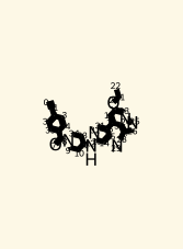 C#Cc1ccc(C(=O)N2CCC(Nc3ccc(-c4cc(OCC)cn5ncc(C#N)c45)cn3)CC2)cc1